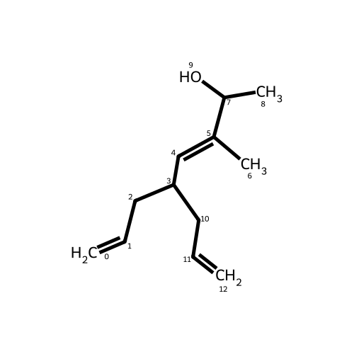 C=CCC(/C=C(\C)C(C)O)CC=C